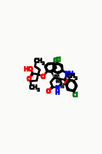 CCCC(CCC)(Oc1ccc(Cl)cc1[C@H]1CC(=O)N[C@@H](c2cc(Cl)ccc2C)[C@]12C(=O)Nc1cc(Cl)ccc12)C(=O)O